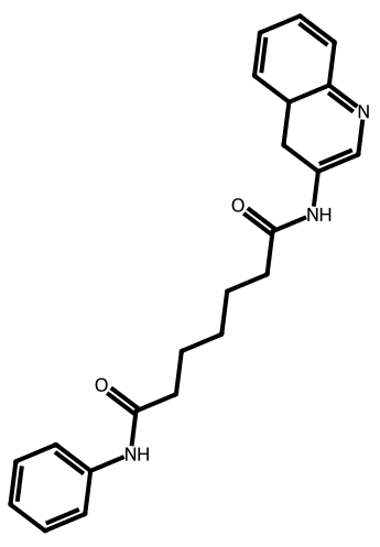 O=C(CCCCCC(=O)Nc1ccccc1)NC1=CN=C2C=CC=CC2C1